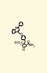 CCOC(=O)[C@@]1(Cc2ccc(OCc3cc(-c4ccccc4)nc4ccccc34)cc2)CNC[C@@H]1C(N)=O